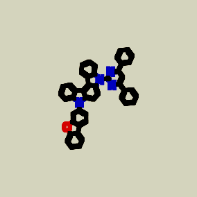 c1ccc(-c2cc(-c3ccccc3)nc(-n3c4ccccc4c4c5c6ccccc6n(-c6ccc7c(c6)oc6ccccc67)c5ccc43)n2)cc1